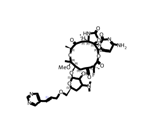 CC[C@H]1OC(=O)[C@@](C)(F)C(=O)[C@H](C)[C@@H](O[C@@H]2O[C@H](COC/C=C/c3cncnc3)CC(N(C)C)C2O)[C@](C)(OC)C[C@@H](C)C(=O)[C@H](C)[C@H]2NC(=O)O[C@@]21n1ccc(N)nc1=O